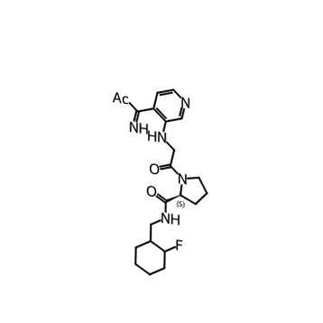 CC(=O)C(=N)c1ccncc1NCC(=O)N1CCC[C@H]1C(=O)NCC1CCCCC1F